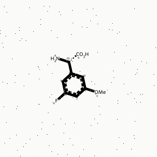 COc1cc(F)cc([C@H](N)C(=O)O)c1